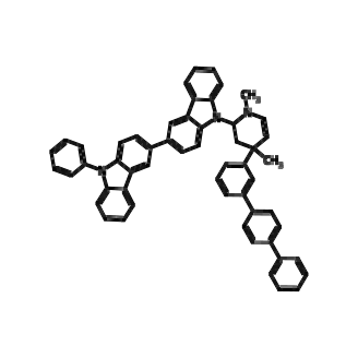 CN1C=CC(C)(c2cccc(-c3ccc(-c4ccccc4)cc3)c2)CC1n1c2ccccc2c2cc(-c3ccc4c(c3)c3ccccc3n4-c3ccccc3)ccc21